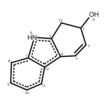 OC1C=Cc2c([nH]c3ccccc23)C1